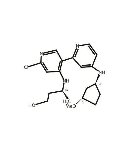 CO[C@H]1CC[C@H](Nc2ccnc(-c3cnc(Cl)cc3N[C@@H](C)CCO)c2)C1